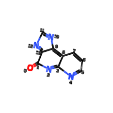 O=C1N=c2ncccc2=C2N=CN=C12